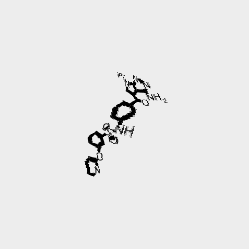 CC(C)n1cc(C(=O)c2cccc(NS(=O)(=O)c3cccc(Oc4ccccn4)c3)c2)c2c(N)ncnc21